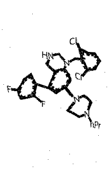 CCCN1CCN(c2cc(-c3ccc(F)cc3F)c3c(c2)N(c2c(Cl)cccc2Cl)CNC3)CC1